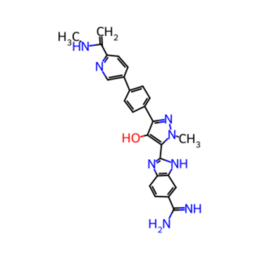 C=C(NC)c1ccc(-c2ccc(-c3nn(C)c(-c4nc5ccc(C(=N)N)cc5[nH]4)c3O)cc2)cn1